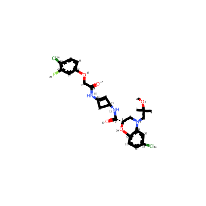 COC(C)(C)CN1C[C@@H](C(=O)NC2C=C(NC(=O)COc3ccc(Cl)c(F)c3)C2)Oc2ccc(Cl)cc21